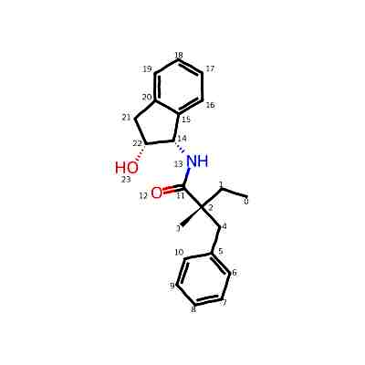 CC[C@](C)(Cc1ccccc1)C(=O)N[C@H]1c2ccccc2C[C@H]1O